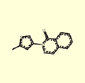 Cc1cc(-n2ncc3ccccc3c2=O)cs1